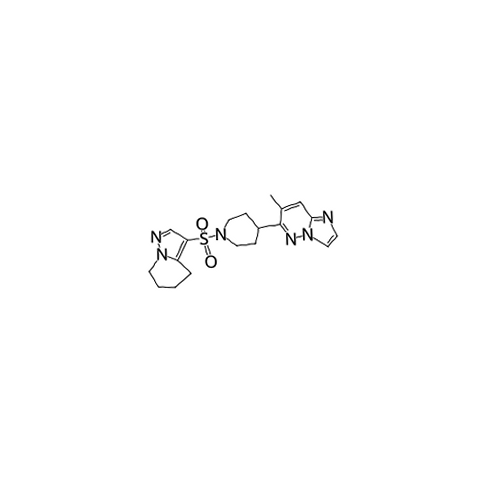 Cc1cc2nccn2nc1C1CCN(S(=O)(=O)c2cnn3c2CCCC3)CC1